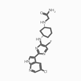 NC(=O)CN[C@@H]1CCC[C@H](Nc2nc(-c3c[nH]c4ncc(Cl)cc34)ncc2F)C1